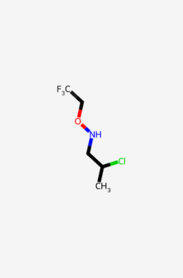 CC(Cl)CNOCC(F)(F)F